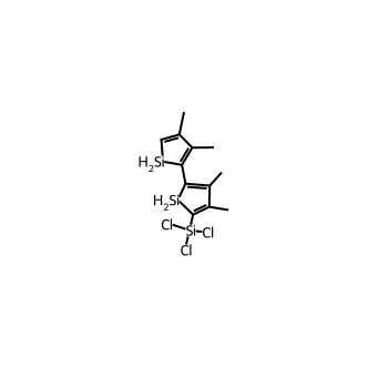 CC1=C[SiH2]C(C2=C(C)C(C)=C([Si](Cl)(Cl)Cl)[SiH2]2)=C1C